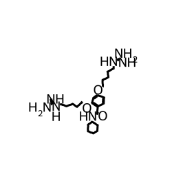 N=C(N)NCCCCCOc1ccc(C(=O)NC2CCCCC2)c(OCCCCCNC(=N)N)c1